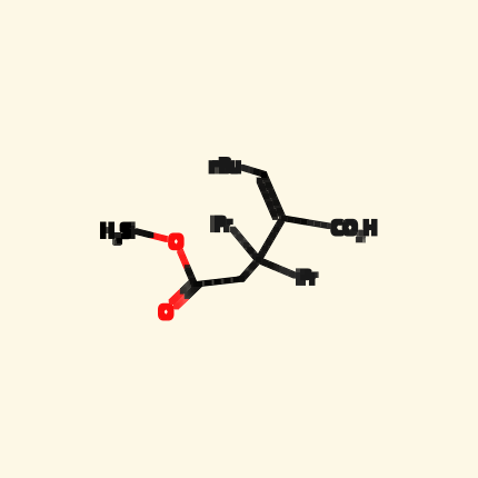 CCCCC=C(C(=O)O)C(CC(=O)O[SiH3])(C(C)C)C(C)C